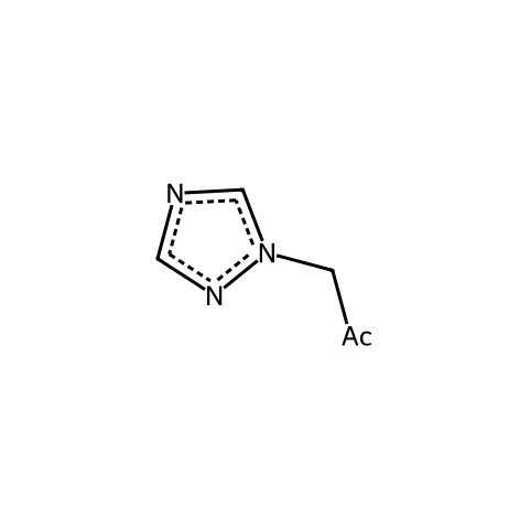 CC(=O)Cn1cncn1